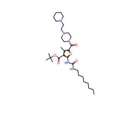 CCCCCCCCNC(=O)Nc1sc(C(=O)N2CCN(CCN3CCCCC3)CC2)c(C)c1C(=O)OC(C)(C)C